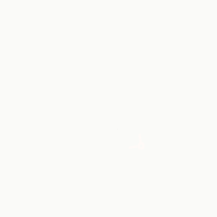 CC(C)C1CCC2(COC2)C1